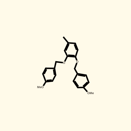 COc1ccc(COc2c[c]c(C)cc2OCc2ccc(OC)cc2)cc1